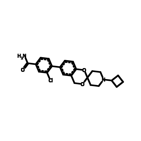 NC(=O)c1ccc(-c2ccc3c(c2)COC2(CCN(C4CCC4)CC2)O3)c(Cl)c1